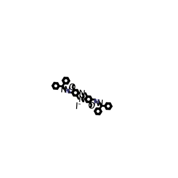 COc1cc2c(cc1/C=N/N=C(c1ccccc1)c1ccccc1)C[N+]1(C)CN2Cc2cc(/C=N/N=C(c3ccccc3)c3ccccc3)c(OC)cc21.[I-]